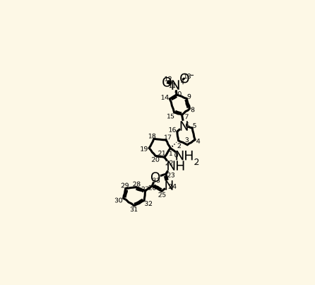 NC1([C@H]2CCCN(c3ccc([N+](=O)[O-])cc3)C2)CCCCC1Nc1ncc(-c2ccccc2)o1